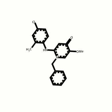 COc1cn(Cc2ccccc2)c(Nc2ccc(Cl)cc2C)cc1=O